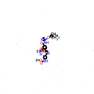 CCNS(=O)(=O)c1cc(C(=O)Nc2nccn2COCC[Si](C)(C)C)ccc1-c1cnc(C2CCC(NC(=O)OC(C)C)CC2)s1